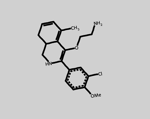 COc1ccc(C2=C(OCCN)C3=C(C)C=CCC3CN2)cc1Cl